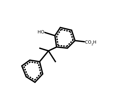 CC(C)(c1ccccc1)c1cc(C(=O)O)ccc1O